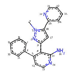 Cn1nc(-c2c(-c3ccccc3)ccnc2N)cc1-c1ccccn1